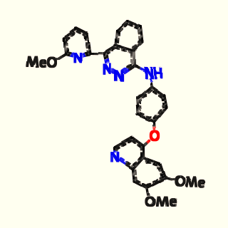 COc1cccc(-c2nnc(Nc3ccc(Oc4ccnc5cc(OC)c(OC)cc45)cc3)c3ccccc23)n1